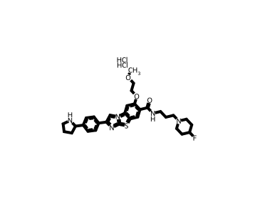 COCCOc1cc2c(cc1C(=O)NCCCN1CCC(F)CC1)sc1nc(-c3ccc(C4CCCN4)cc3)cn12.Cl.Cl